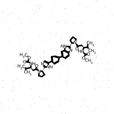 COC(=O)N[C@@H](CC(=O)N1CCC[C@H]1c1ncc(-c2ccc(-c3ccc4nc([C@@H]5CCCN5C(=O)C[C@H](NC(=O)OC)C(C)C)[nH]c4c3)cc2)[nH]1)C(C)C